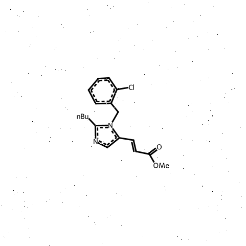 CCCCc1ncc(C=CC(=O)OC)n1Cc1ccccc1Cl